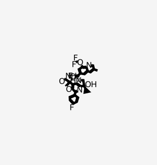 Cc1cnc2c(OC(F)F)cc(C(=O)NCC(O)(c3cc4c(c(-c5ccc(F)cc5)n3)OC[C@]4(CF)C(N)=O)C3CC3)cc2c1